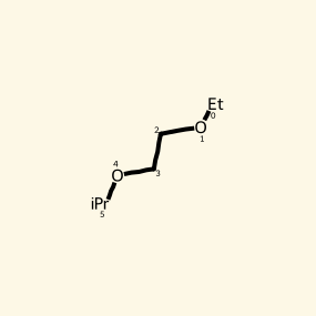 CCOCCOC(C)C